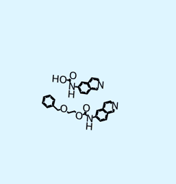 O=C(Nc1ccc2cnccc2c1)OCCOCc1ccccc1.O=C(O)Nc1ccc2cnccc2c1